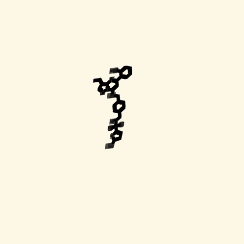 C=Cc1cnn2c(NCc3ccc(CNS(=O)(=O)c4ccc(O)s4)cc3)cc(-c3ccccc3O)nc12